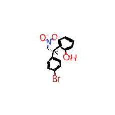 O=[N+]([O-])C[C@@H](c1ccc(Br)cc1)c1ccccc1O